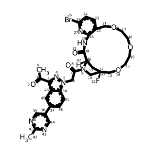 CC(=O)c1nn(CC(=O)N2C[C@@]3(F)COCCOCCOCc4ccc(Br)nc4NC(=O)[C@@H]2C3)c2ccc(-c3cnc(C)nc3)cc12